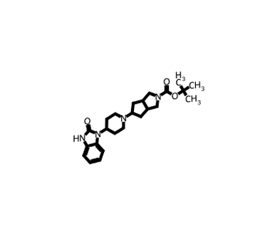 CC(C)(C)OC(=O)N1CC2CC(N3CCC(n4c(=O)[nH]c5ccccc54)CC3)CC2C1